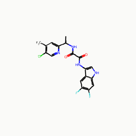 CC(NC(=O)C(=O)Nc1c[nH]c2cc(F)c(F)cc12)c1cc(C(F)(F)F)c(Cl)cn1